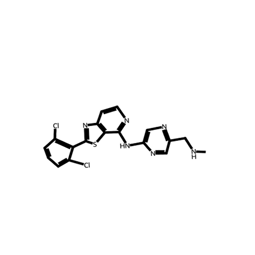 CNCc1cnc(Nc2nccc3nc(-c4c(Cl)cccc4Cl)sc23)cn1